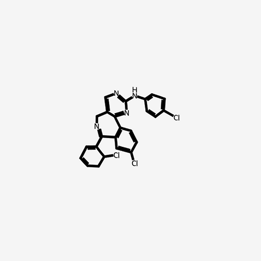 Clc1ccc(Nc2ncc3c(n2)-c2ccc(Cl)cc2C(C2=CC=CCC2Cl)=NC3)cc1